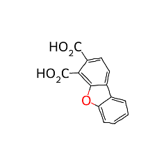 O=C(O)c1ccc2c(oc3ccccc32)c1C(=O)O